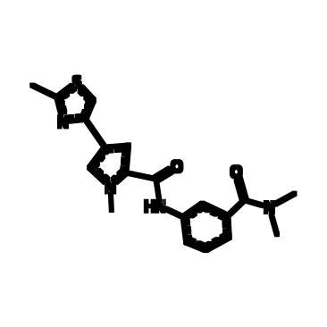 Cc1nc(-c2cc(C(=O)Nc3cccc(C(=O)N(C)C)c3)n(C)c2)cs1